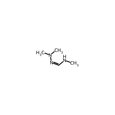 CN/C=N\N(C)C